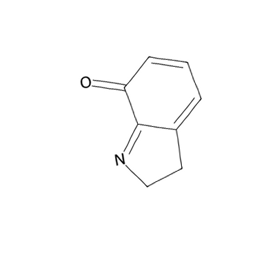 O=C1C=CC=C2CCN=C12